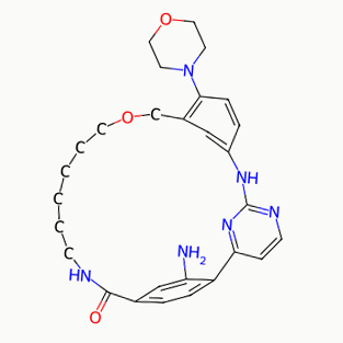 Nc1cc2ccc1-c1ccnc(n1)Nc1ccc(N3CCOCC3)c(c1)COCCCCCCNC2=O